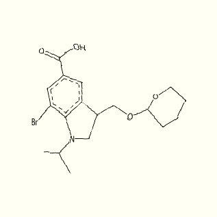 CC(C)N1CC(COC2CCCCO2)c2cc(C(=O)O)cc(Br)c21